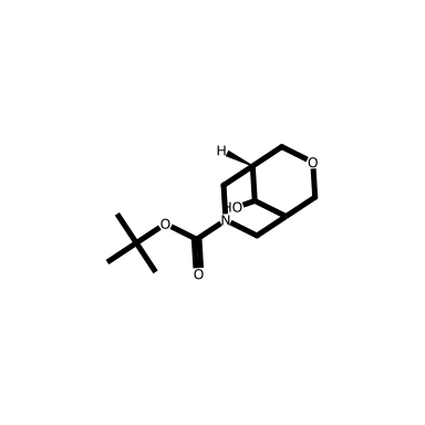 CC(C)(C)OC(=O)N1CC2COC[C@@H](C1)C2O